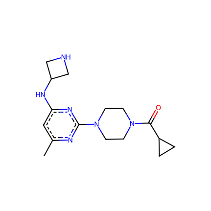 Cc1cc(NC2CNC2)nc(N2CCN(C(=O)C3CC3)CC2)n1